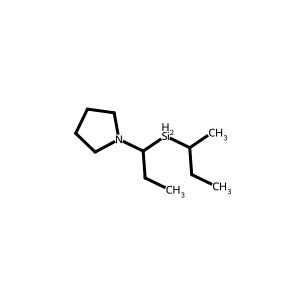 CCC(C)[SiH2]C(CC)N1CCCC1